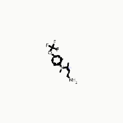 C/C(=C/CN)N(C)c1ccc(OC(F)(F)F)cc1